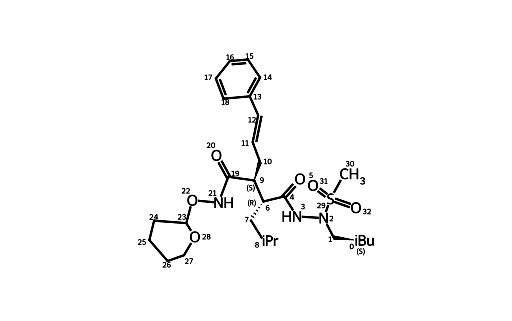 CC[C@H](C)CN(NC(=O)[C@H](CC(C)C)[C@H](CC=Cc1ccccc1)C(=O)NOC1CCCCO1)S(C)(=O)=O